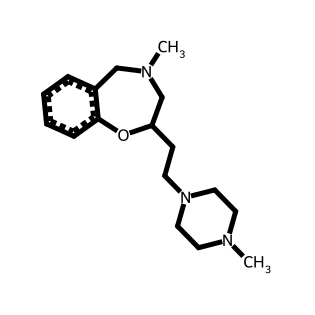 CN1CCN(CCC2CN(C)Cc3ccccc3O2)CC1